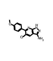 COc1ccc(-c2nc3[nH]nc(N)c3cc2Cl)cc1